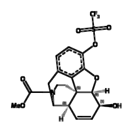 COC(=O)N1CC[C@]23c4c5ccc(OS(=O)(=O)C(F)(F)F)c4O[C@H]2[C@@H](O)C=C[C@H]3C1C5